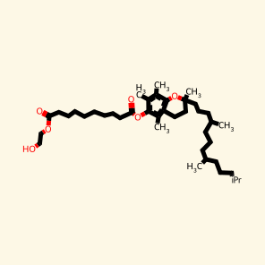 Cc1c(C)c2c(c(C)c1OC(=O)CCCCCCCCC(=O)OCCO)CCC(C)(CCCC(C)CCCC(C)CCCC(C)C)O2